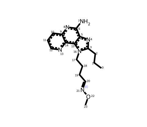 CCCc1nc2c(N)nc3cccnc3c2n1CCC/C=N/OC